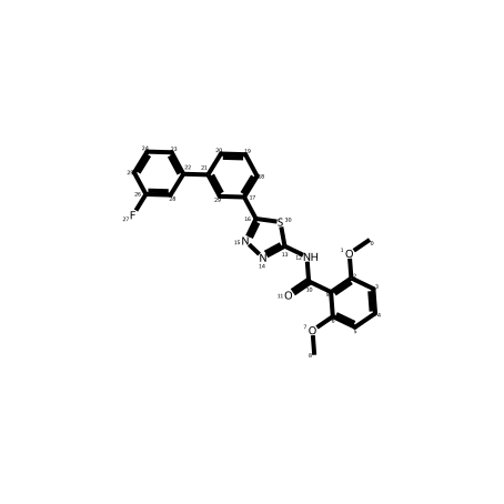 COc1cccc(OC)c1C(=O)Nc1nnc(-c2cccc(-c3cccc(F)c3)c2)s1